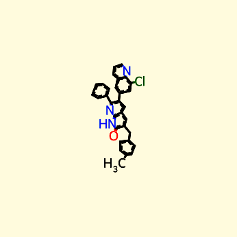 Cc1ccc(Cc2cc3cc(-c4cc(Cl)c5ncccc5c4)c(-c4ccccc4)nc3[nH]c2=O)cc1